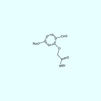 CNC(=O)COc1cc(OC)ccc1C=O